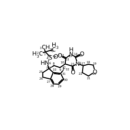 CC(C)(C)[S@+]([O-])N[C@@]1(CCC2C(=O)NC(=O)N(C3CCOCC3)C2=O)CCc2cccc(F)c21